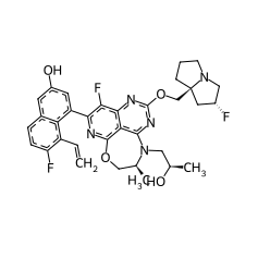 C=Cc1c(F)ccc2cc(O)cc(-c3nc4c5c(nc(OC[C@@]67CCCN6C[C@H](F)C7)nc5c3F)N(C[C@@H](C)O)[C@@H](C)CO4)c12